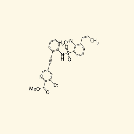 C=Nc1c(/C=C\C)cccc1S(=O)(=O)Nc1ccccc1C#Cc1cnc(C(=O)OC)c(CC)c1